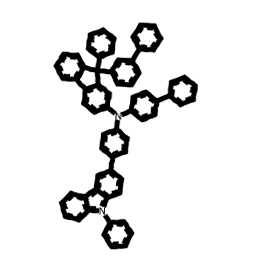 c1ccc(-c2ccc(N(c3ccc(-c4ccc5c(c4)c4ccccc4n5-c4ccccc4)cc3)c3ccc4c(c3)C(c3ccccc3)(c3cccc(-c5ccccc5)c3)c3ccccc3-4)cc2)cc1